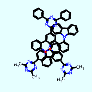 Cc1nc(C)nc(-c2ccc3c(c2)c2cc(-c4nc(C)nc(C)n4)ccc2n3-c2c(-c3ccccc3-n3c4ccccc4c4ccccc43)cc(-c3nc(-c4ccccc4)nc(-c4ccccc4)n3)cc2-c2ccccc2-n2c3ccccc3c3ccccc32)n1